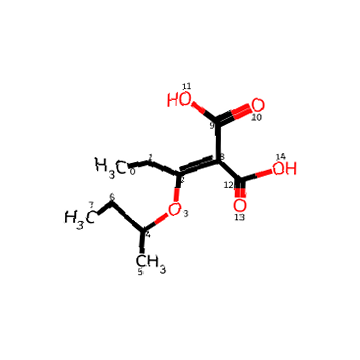 CCC(OC(C)CC)=C(C(=O)O)C(=O)O